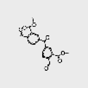 COC(=O)c1cc(C(=O)c2ccc([C]=O)c(C(=O)OC)c2)ccc1[C]=O